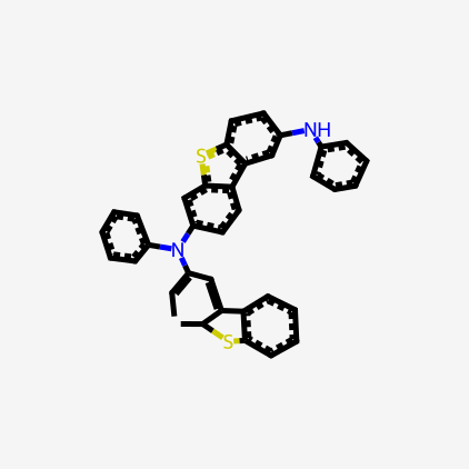 C/C=C(\C=C1\c2ccccc2SC1C)N(c1ccccc1)c1ccc2c(c1)sc1ccc(Nc3ccccc3)cc12